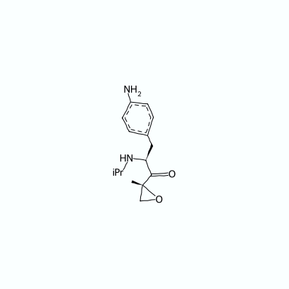 CC(C)N[C@@H](Cc1ccc(N)cc1)C(=O)[C@@]1(C)CO1